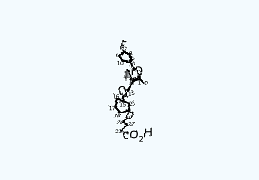 Cc1oc(-c2ccc(F)cc2)nc1COC1CCCC(OCCCC(=O)O)C1